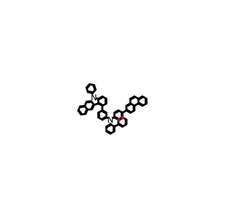 c1ccc(-c2ccccc2N(c2ccc(-c3ccc4c(ccc5ccccc54)c3)cc2)c2cccc(-c3cccc4c3c3cc5ccccc5cc3n4-c3ccccc3)c2)cc1